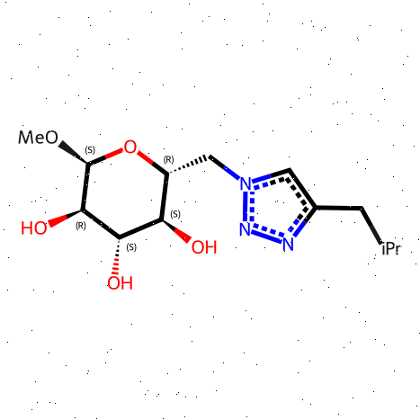 CO[C@H]1O[C@H](Cn2cc(CC(C)C)nn2)[C@@H](O)[C@H](O)[C@H]1O